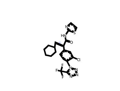 O=C(Nc1nccs1)/C(=C/C1CCCCC1)c1ccc(-n2nnnc2C(F)(F)F)c(Cl)c1